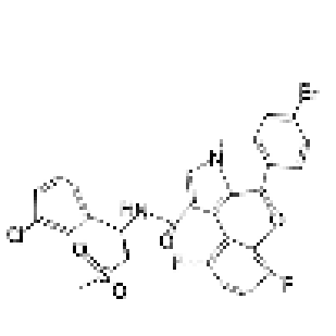 Cc1c(F)ccc(F)c1-c1c(C(=O)N[C@@H](CS(C)(=O)=O)c2cccc(Cl)c2)cn(C)c1C(=O)c1ccc(Br)cc1